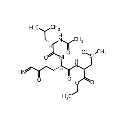 CCOC(=O)C(C[S+](C)[O-])NC(=O)[C@H](CCC(=O)C=N)NC(=O)[C@H](CC(C)C)NC(C)=O